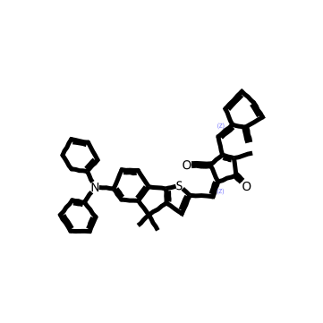 C=c1cccc/c1=C/C1=C(C)C(=O)/C(=C/c2cc3c(s2)-c2ccc(N(C4=CC=CCC4)c4ccccc4)cc2C3(C)C)C1=O